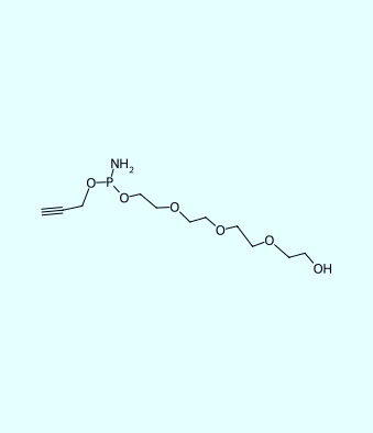 C#CCOP(N)OCCOCCOCCOCCO